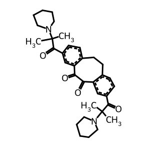 CC(C)(C(=O)c1ccc2c(c1)C(=O)C(=O)c1cc(C(=O)C(C)(C)N3CCCCC3)ccc1CC2)N1CCCCC1